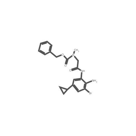 CN(CC(=O)Nc1cc(C2CC2)cc(Br)c1N)C(=O)OCc1ccccc1